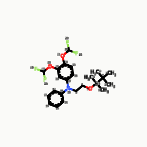 CC(C)(C)[Si](C)(C)OCCN(c1ccccc1)c1ccc(OC(F)F)c(OC(F)F)c1